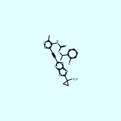 Cc1onc(C#Cc2nc3nc(C4(C(=O)O)CC4)oc3o2)c1NC(=O)OC(C)c1ccccc1Cl